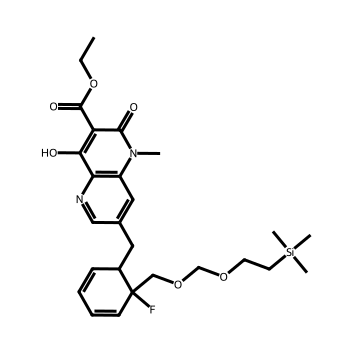 CCOC(=O)c1c(O)c2ncc(CC3C=CC=CC3(F)COCOCC[Si](C)(C)C)cc2n(C)c1=O